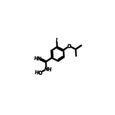 CC(C)Oc1ccc(C(=N)NO)cc1I